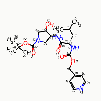 CC(C)C[C@H](NC(=O)OCc1ccncc1)C(=O)NC1CN(C(=O)OC(C)(C)C)CC1O